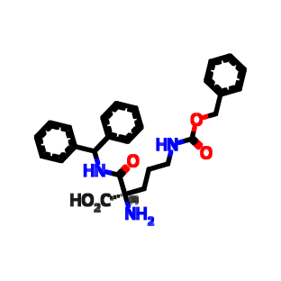 N[C@@](CCCNC(=O)OCc1ccccc1)(C(=O)O)C(=O)NC(c1ccccc1)c1ccccc1